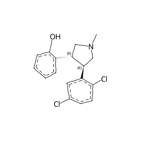 CN1C[C@@H](c2ccccc2O)[C@H](c2cc(Cl)ccc2Cl)C1